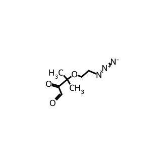 CC(C)(OCCN=[N+]=[N-])C(=O)C=O